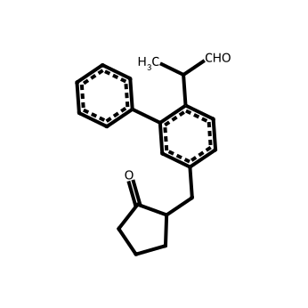 CC(C=O)c1ccc(CC2CCCC2=O)cc1-c1ccccc1